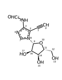 C#Cc1c(NC=O)ncn1[C@@H]1O[C@H](CO)[C@@H](O)[C@H]1O